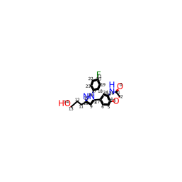 O=C1COc2ccc(-c3cc(CCCO)nn3-c3ccc(F)cc3)cc2N1